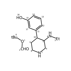 CC(C)(C)OC=O.CCNC1CNCCC1c1cccc(O)c1